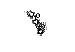 CN1CCC(C(=O)c2cccc(NS(=O)(=O)c3ccccc3I)c2)CC1